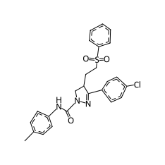 Cc1ccc(NC(=O)N2CC(CCS(=O)(=O)c3ccccc3)C(c3ccc(Cl)cc3)=N2)cc1